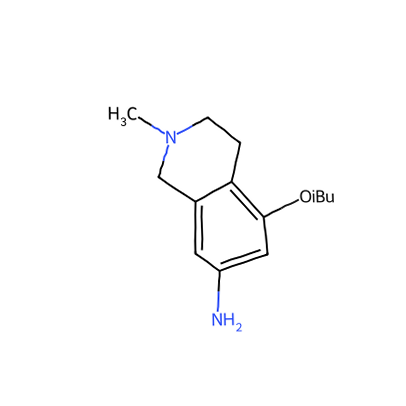 CC(C)COc1cc(N)cc2c1CCN(C)C2